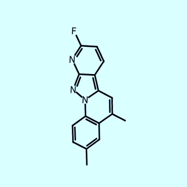 Cc1ccc2c(c1)c(C)cc1c3ccc(F)nc3nn21